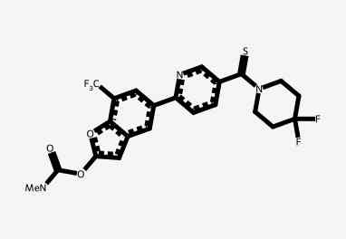 CNC(=O)Oc1cc2cc(-c3ccc(C(=S)N4CCC(F)(F)CC4)cn3)cc(C(F)(F)F)c2o1